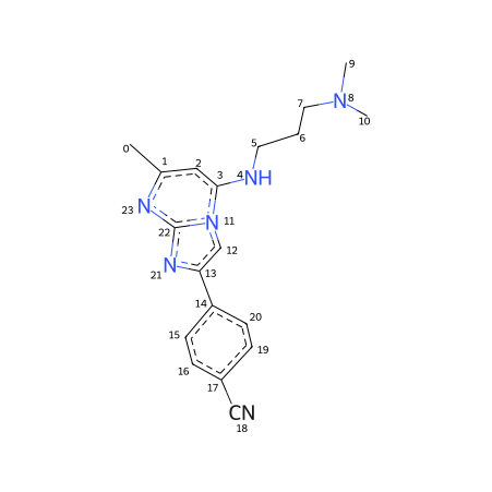 Cc1cc(NCCCN(C)C)n2cc(-c3ccc(C#N)cc3)nc2n1